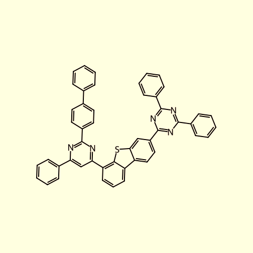 c1ccc(-c2ccc(-c3nc(-c4ccccc4)cc(-c4cccc5c4sc4cc(-c6nc(-c7ccccc7)nc(-c7ccccc7)n6)ccc45)n3)cc2)cc1